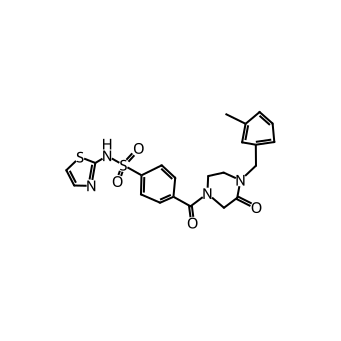 Cc1cccc(CN2CCN(C(=O)c3ccc(S(=O)(=O)Nc4nccs4)cc3)CC2=O)c1